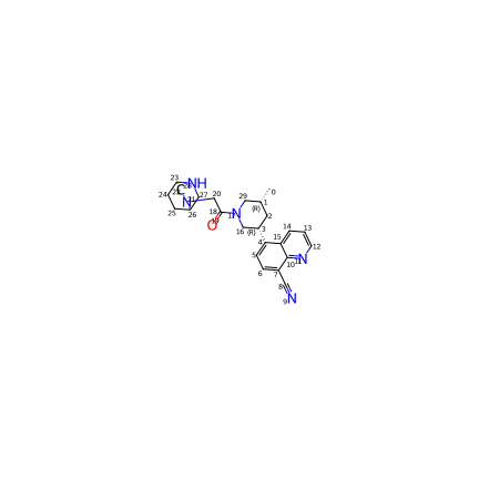 C[C@@H]1C[C@H](c2ccc(C#N)c3ncccc23)CN(C(=O)CN2CC3CCC2CN3)C1